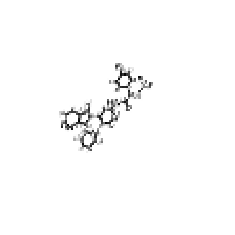 O=C(Nc1cc(-c2[nH]c3ccnnc3c2-c2ccccn2)ccn1)[C@@H](CC(F)F)c1ccc(F)cc1